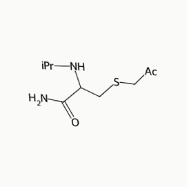 CC(=O)CSCC(NC(C)C)C(N)=O